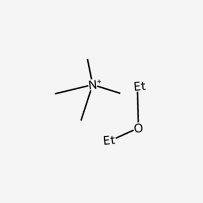 CCOCC.C[N+](C)(C)C